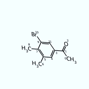 CC(=O)c1cc(C)c(C)c(Br)c1